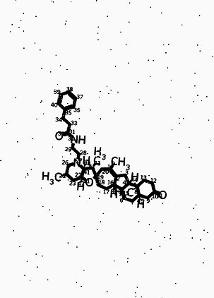 CC1=C2C[C@H]3C(CC[C@@H]4CC(=O)CC[C@@]43C)[C@@H]2CCC2(C1)O[C@@H]1C[C@H](C)CN(CCNC(=O)CCc3ccccc3)[C@H]1[C@H]2C